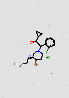 Cl.O=C(O)C/C=C1/CN(C(C(=O)C2CC2)c2ccccc2F)CCC1S